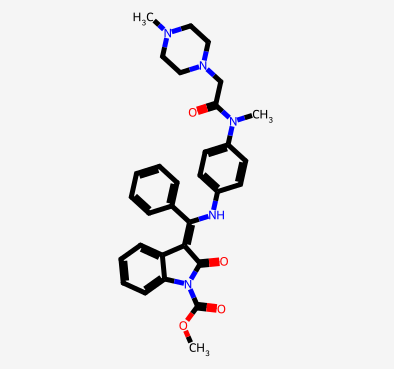 COC(=O)N1C(=O)/C(=C(\Nc2ccc(N(C)C(=O)CN3CCN(C)CC3)cc2)c2ccccc2)c2ccccc21